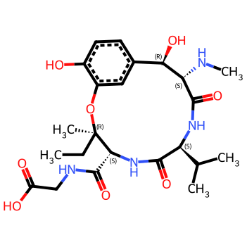 CC[C@@]1(C)Oc2cc(ccc2O)[C@@H](O)[C@H](NC)C(=O)N[C@@H](C(C)C)C(=O)N[C@@H]1C(=O)NCC(=O)O